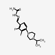 CC(C)N1CCN(c2ccc(/C=N/NC(N)=S)c(F)c2F)CC1